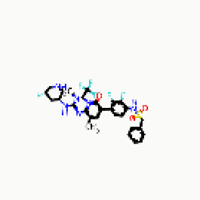 C=N/C(=N\c1c(C)cc(-c2ccc(NS(=O)(=O)Cc3ccccc3)c(F)c2F)c(=O)n1CC(F)(F)F)N[C@@H]1CNC[C@@H](F)C1